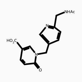 CC(=O)NCc1ccc(Cn2cc(C(=O)O)ccc2=O)cn1